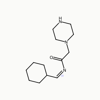 O=C(CN1CCNCC1)/N=C\C1CCCCC1